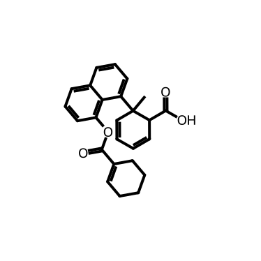 CC1(c2cccc3cccc(OC(=O)C4=CCCCC4)c23)C=CC=CC1C(=O)O